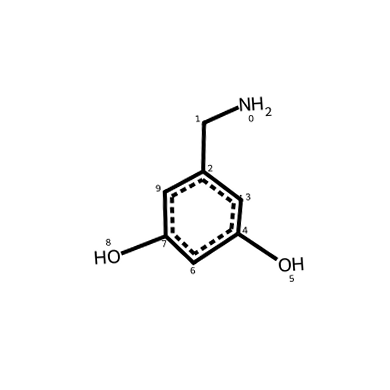 NCc1[c]c(O)cc(O)c1